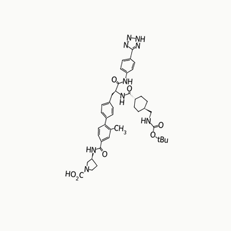 Cc1cc(C(=O)N[C@H]2CCN(C(=O)O)C2)ccc1-c1ccc(C[C@H](NC(=O)[C@H]2CC[C@H](CNC(=O)OC(C)(C)C)CC2)C(=O)Nc2ccc(-c3nn[nH]n3)cc2)cc1